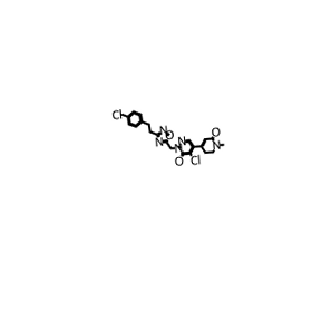 CN1CCC(c2cnn(Cc3nc(CCc4ccc(Cl)cc4)no3)c(=O)c2Cl)=CC1=O